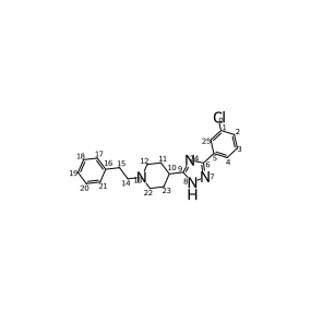 Clc1cccc(-c2n[nH]c(C3CCN(CCc4ccccc4)CC3)n2)c1